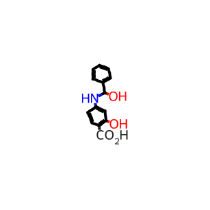 O=C(O)c1ccc(NC(O)c2ccccc2)cc1O